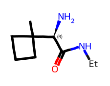 CCNC(=O)[C@H](N)C1(C)CCC1